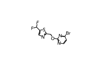 FC(F)c1cnc(COc2nccc(Br)n2)s1